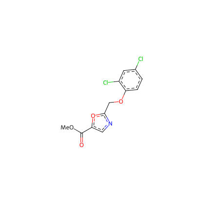 COC(=O)c1cnc(COc2ccc(Cl)cc2Cl)o1